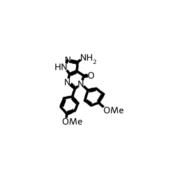 COc1ccc(-c2nc3[nH]nc(N)c3c(=O)n2-c2ccc(OC)cc2)cc1